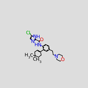 CC1(C)CC=C(c2cc(CCN3CCOCC3)ccc2NC(=O)c2ncc(Cl)[nH]2)CC1